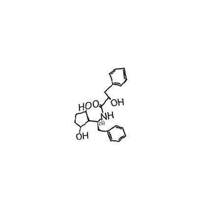 O=C(N[C@@H](Cc1ccccc1)C1C(O)CCC1O)C(O)Cc1ccccc1